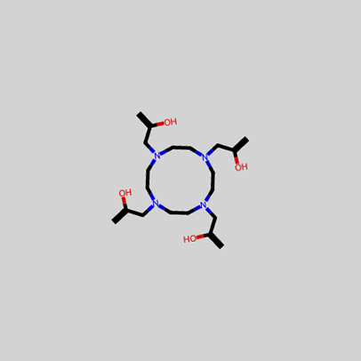 C=C(O)CN1CCN(CC(=C)O)CCN(CC(=C)O)CCN(CC(=C)O)CC1